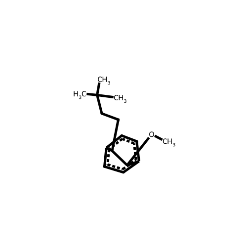 COC1c2ccc(cc2)C1CCC(C)(C)C